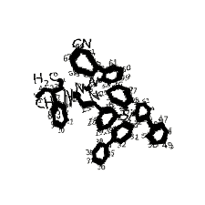 C=Cc1c(/C=C\C)c2ccccc2n1-c1cc(-c2cccc([Si](c3ccccc3)(c3cccc(-c4ccccc4)c3)c3cccc(-c4ccccc4)c3)c2)nc(-n2c3ccccc3c3cc(C#N)ccc32)n1